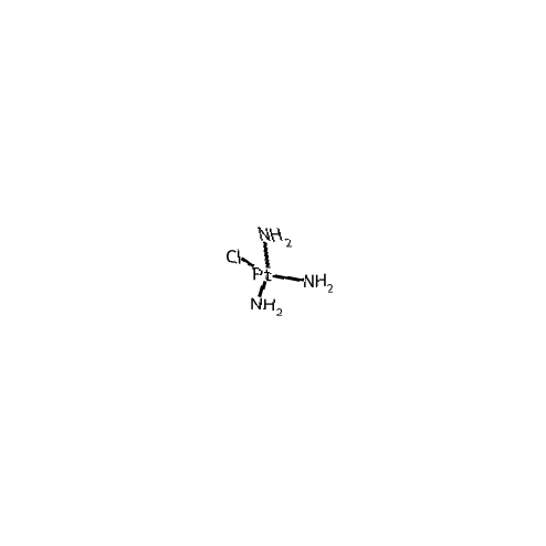 [NH2][Pt]([NH2])([NH2])[Cl]